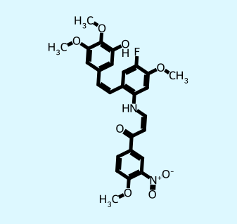 COc1cc(N/C=C\C(=O)c2ccc(OC)c([N+](=O)[O-])c2)c(/C=C\c2cc(O)c(OC)c(OC)c2)cc1F